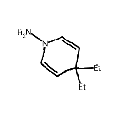 CCC1(CC)C=CN(N)C=C1